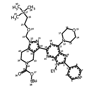 CCn1c(-c2ccncc2)nc2c(N3CCOCC3)nc(-c3nn(COCC[Si](C)(C)C)c4c3CN(C(=O)OC(C)(C)C)CC4)nc21